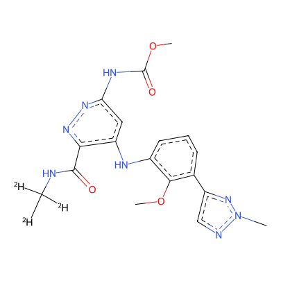 [2H]C([2H])([2H])NC(=O)c1nnc(NC(=O)OC)cc1Nc1cccc(-c2cnn(C)n2)c1OC